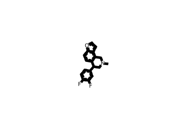 CN1Cc2c(ccc3occc23)C(c2ccc(F)c(F)c2)C1